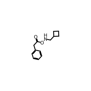 O=C(Cc1ccccc1)ONCC1CCC1